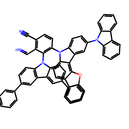 N#Cc1ccc(-n2c3ccc(-n4c5ccccc5c5ccccc54)cc3c3c4oc5ccccc5c4ccc32)c(-n2c3ccc(-c4ccccc4)cc3c3cc(-c4ccccc4)ccc32)c1C=N